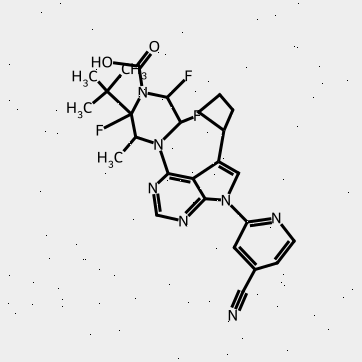 CC1N(c2ncnc3c2c(C2CCC2)cn3-c2cc(C#N)ccn2)C(F)C(F)N(C(=O)O)C1(F)C(C)(C)C